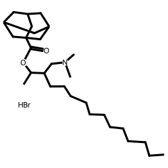 Br.CCCCCCCCCCCCC(CN(C)C)C(C)OC(=O)C12CC3CC(CC(C3)C1)C2